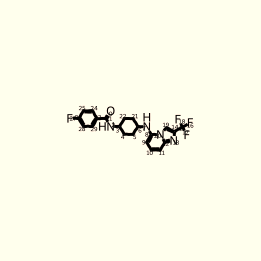 O=C(NC1CCC(Nc2cccc3nc(C(F)(F)F)cn23)CC1)c1ccc(F)cc1